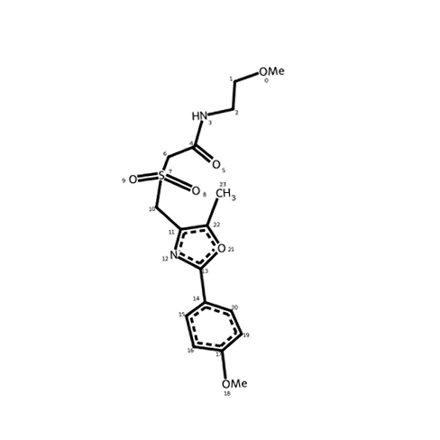 COCCNC(=O)CS(=O)(=O)Cc1nc(-c2ccc(OC)cc2)oc1C